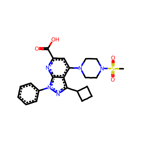 CS(=O)(=O)N1CCN(c2cc(C(=O)O)nc3c2c(C2CCC2)nn3-c2ccccc2)CC1